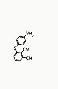 N#Cc1cccc(Sc2ccc(N)cc2)c1C#N